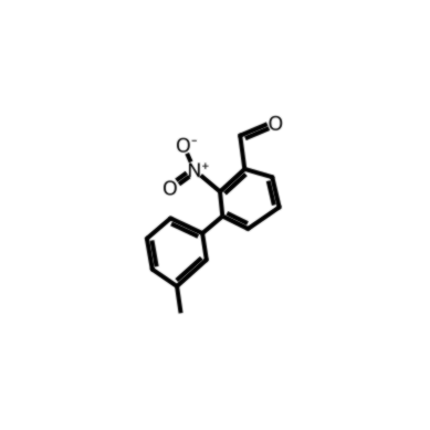 Cc1cccc(-c2cccc(C=O)c2[N+](=O)[O-])c1